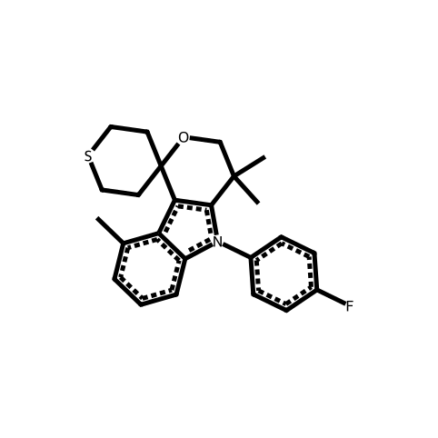 Cc1cccc2c1c1c(n2-c2ccc(F)cc2)C(C)(C)COC12CCSCC2